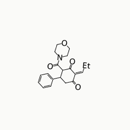 CC/C=C1/C(=O)CC(c2ccccc2)C(C(=O)N2CCOCC2)C1=O